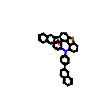 c1ccc(N(c2ccc(-c3ccc4ccccc4c3)cc2)c2cccc3sc4ccc5c6cc7ccccc7cc6oc5c4c23)cc1